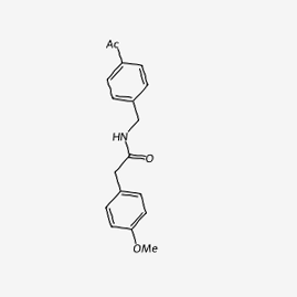 COc1ccc(CC(=O)NCc2ccc(C(C)=O)cc2)cc1